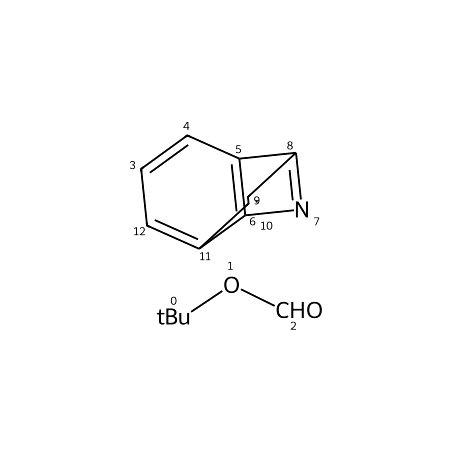 CC(C)(C)OC=O.c1cc2c3nc-2ccc3c1